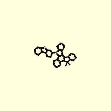 CC1(C)c2ccccc2-c2c1c1ccccc1c1c2c2ccccc2n1-c1ccc2c(c1)sc1ccccc12